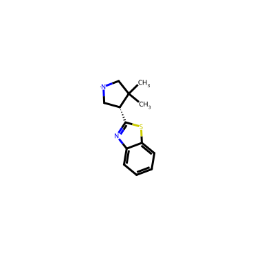 CC1(C)C[N]C[C@H]1c1nc2ccccc2s1